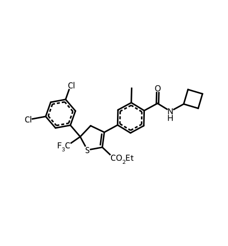 CCOC(=O)C1=C(c2ccc(C(=O)NC3CCC3)c(C)c2)CC(c2cc(Cl)cc(Cl)c2)(C(F)(F)F)S1